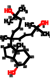 CC(C)(O)CCCC(C)(CCCC(C)(C)O)C1CCC2[C@@H](O)CCC[C@@]21C